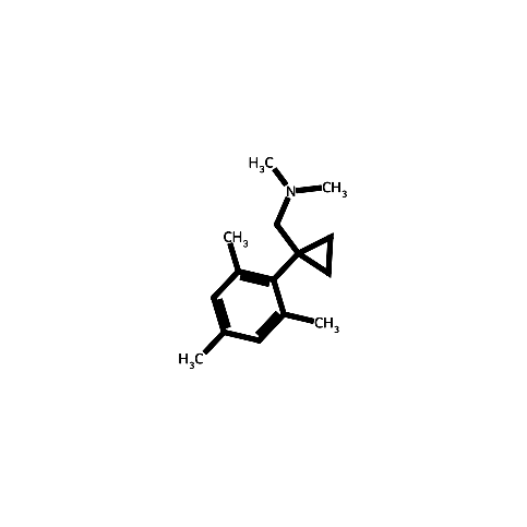 Cc1cc(C)c(C2(CN(C)C)CC2)c(C)c1